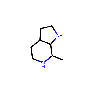 CC1NCCC2CCNC21